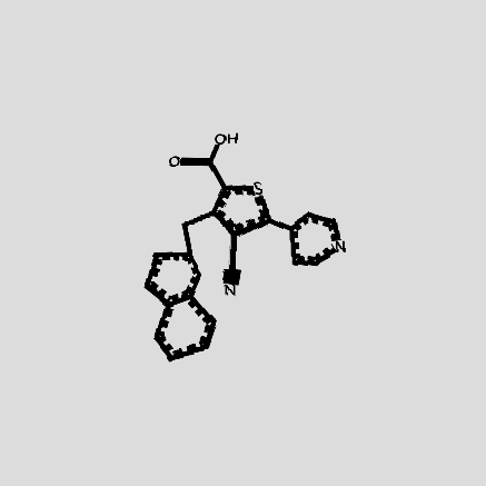 N#Cc1c(-c2ccncc2)sc(C(=O)O)c1Cc1ccc2ccccc2c1